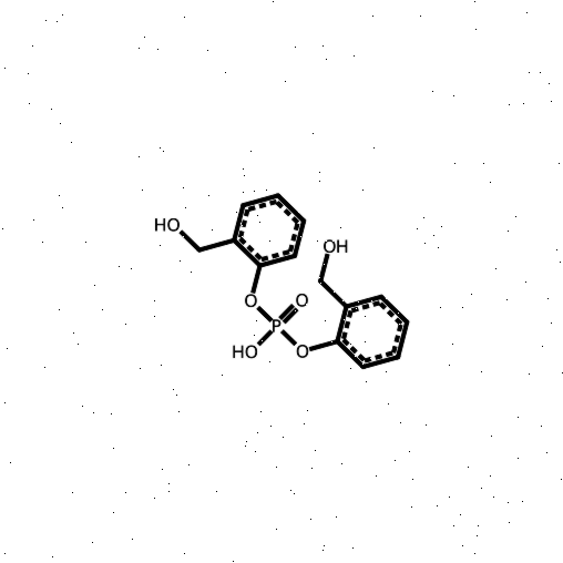 O=P(O)(Oc1ccccc1CO)Oc1ccccc1CO